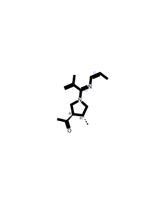 C=C(C)/C(=N\C=C/C)N1C[C@H](C(C)=O)[C@@H](C)C1